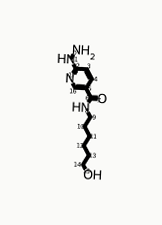 NNc1ccc(C(=O)NCCCCCCO)cn1